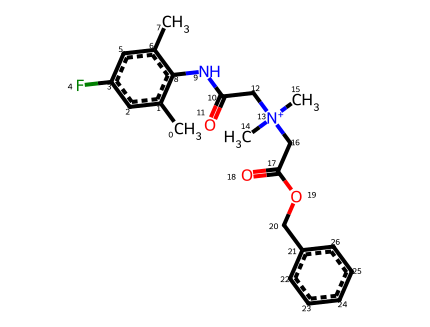 Cc1cc(F)cc(C)c1NC(=O)C[N+](C)(C)CC(=O)OCc1ccccc1